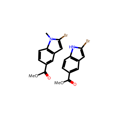 COC(=O)c1ccc2[nH]c(Br)cc2c1.COC(=O)c1ccc2c(c1)cc(Br)n2C